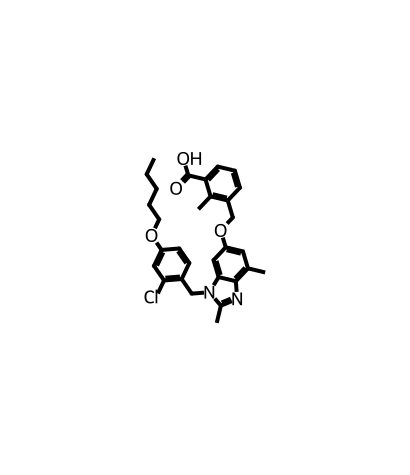 CCCCCOc1ccc(Cn2c(C)nc3c(C)cc(OCc4cccc(C(=O)O)c4C)cc32)c(Cl)c1